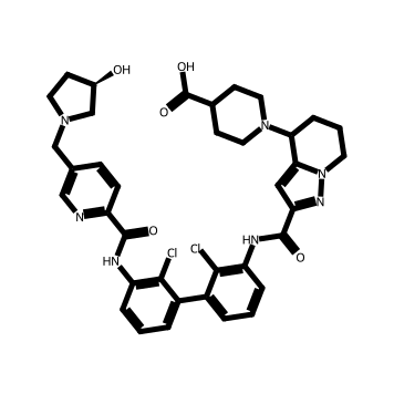 O=C(Nc1cccc(-c2cccc(NC(=O)c3cc4n(n3)CCCC4N3CCC(C(=O)O)CC3)c2Cl)c1Cl)c1ccc(CN2CC[C@@H](O)C2)cn1